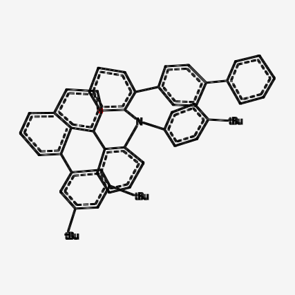 CC(C)(C)c1ccc(N(c2ccccc2-c2ccc(-c3ccccc3)cc2)c2ccccc2-c2cccc3cccc(-c4cc(C(C)(C)C)cc(C(C)(C)C)c4)c23)cc1